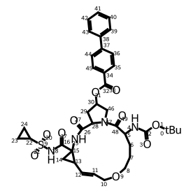 CC(C)(C)OC(=O)NC1CCCOC/C=C/C2CC2(C(=O)NS(=O)(=O)C2CC2)NC(=O)C2CC(OC(=O)c3ccc(-c4ccccc4)cc3)CN2C1=O